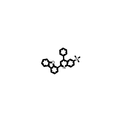 C[Si](C)(C)c1ccc2nc(-c3cccc4c3oc3ccccc34)cc(-c3ccccc3)c2c1